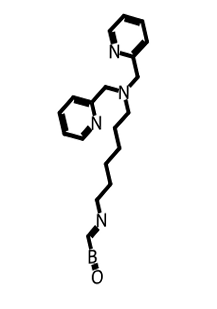 O=B/C=N/CCCCCCN(Cc1ccccn1)Cc1ccccn1